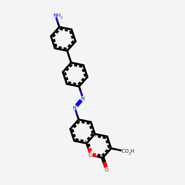 Nc1ccc(-c2ccc(N=Nc3ccc4oc(=O)c(C(=O)O)cc4c3)cc2)cc1